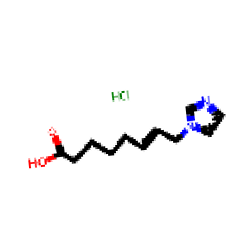 Cl.O=C(O)CCCCC=CCn1ccnc1